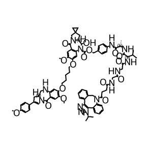 COc1ccc(C2=CN3C(=O)c4cc(OC)c(OCCCCCOc5cc6c(cc5OC)C(=O)N5CC7(CC7)C[C@H]5C(O)N6C(=O)OCc5ccc(NC(=O)[C@H](C)NC(=O)[C@@H](NC(=O)CNC(=O)CNC(=O)CCC(=O)N6Cc7ccccc7-c7nnn(C(C)C)c7-c7ccccc76)C(C)C)cc5)cc4NC[C@@H]3C2)cc1